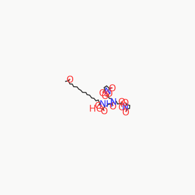 CC(=O)CCCCCCCCCCCCCCC(=O)N[C@H](CCC(=O)N(CCC(=O)ON1C(=O)CCC1=O)CCC(=O)ON1C(=O)CCC1=O)C(=O)O